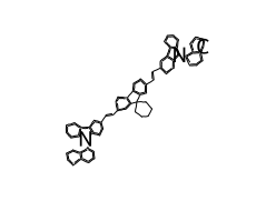 C(=C\c1ccc2c(c1)c1ccccc1n2-c1cccc2ccccc12)/c1ccc2c(c1)C1(CCCCC1)c1cc(/C=C/c3ccc4c(c3)c3ccccc3n4-c3cccc4ccccc34)ccc1-2